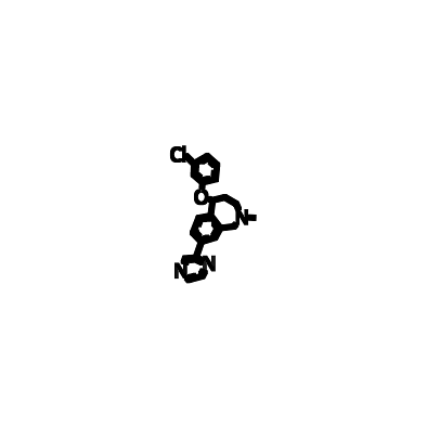 CN1CCC(Oc2cccc(Cl)c2)c2ccc(-c3cnccn3)cc2C1